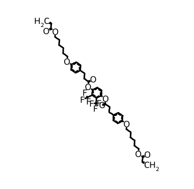 C=CC(=O)OCCCCCCOc1ccc(CCC(=O)Oc2ccc(OC(=O)CCc3ccc(OCCCCCCOC(=O)C=C)cc3)c(C(F)(F)F)c2C(F)(F)F)cc1